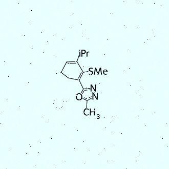 CSC1=C(c2nnc(C)o2)CCC=C1C(C)C